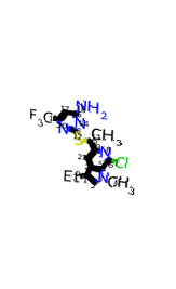 CCc1cn(C)c2c(Cl)nc(C(C)Sc3nc(N)cc(C(F)(F)F)n3)cc12